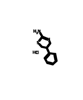 Cl.NC1=NCC(c2ccccc2)CS1